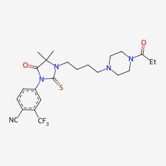 CCC(=O)N1CCN(CCCCN2C(=S)N(c3ccc(C#N)c(C(F)(F)F)c3)C(=O)C2(C)C)CC1